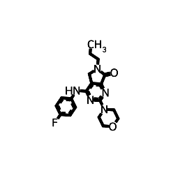 CCCN1Cc2c(Nc3ccc(F)cc3)nc(N3CCOCC3)nc2C1=O